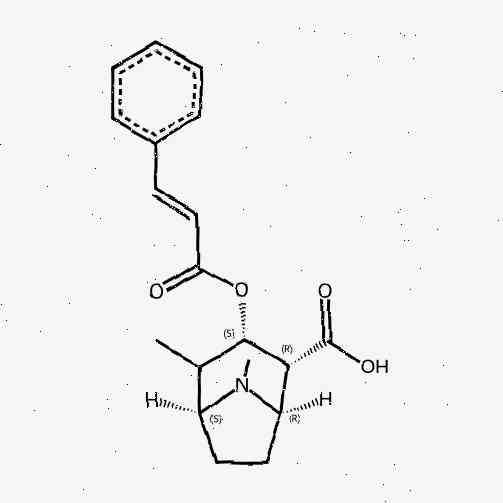 CC1[C@H](OC(=O)C=Cc2ccccc2)[C@H](C(=O)O)[C@H]2CC[C@@H]1N2C